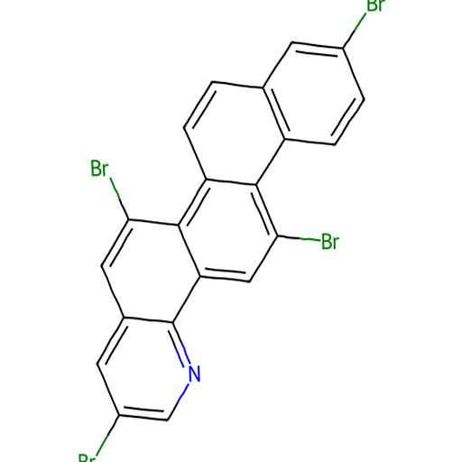 Brc1ccc2c(ccc3c2c(Br)cc2c4ncc(Br)cc4cc(Br)c23)c1